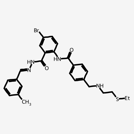 CCSCCNCc1ccc(C(=O)Nc2ccc(Br)cc2C(=O)N/N=C/c2cccc(C)c2)cc1